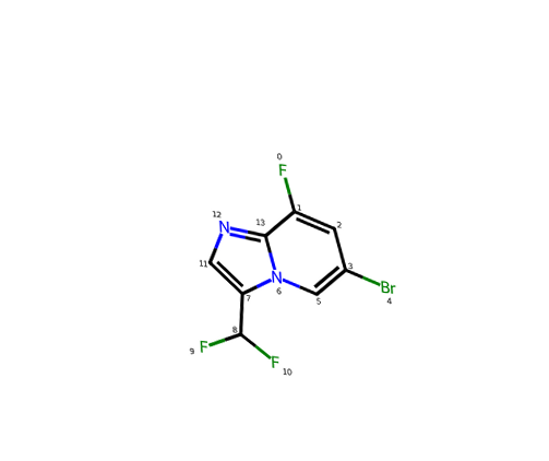 Fc1cc(Br)cn2c(C(F)F)cnc12